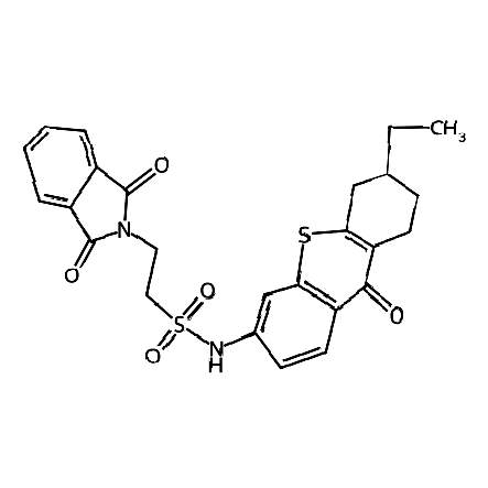 CCC1CCc2c(sc3cc(NS(=O)(=O)CCN4C(=O)c5ccccc5C4=O)ccc3c2=O)C1